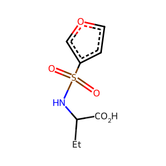 CCC(NS(=O)(=O)c1ccoc1)C(=O)O